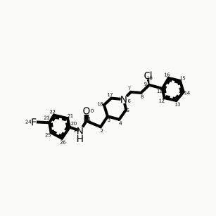 O=C(CC1CCN(CC[C@@H](Cl)c2ccccc2)CC1)Nc1ccc(F)cc1